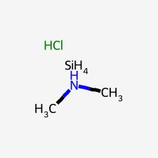 CNC.Cl.[SiH4]